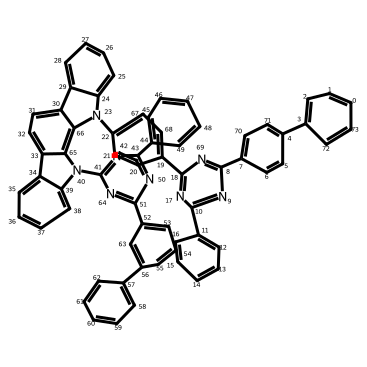 c1ccc(-c2ccc(-c3nc(-c4ccccc4)nc(-c4ccc(-n5c6ccccc6c6ccc7c8ccccc8n(-c8nc(-c9ccccc9)nc(-c9cccc(-c%10ccccc%10)c9)n8)c7c65)cc4)n3)cc2)cc1